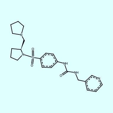 O=C(NCc1cccnc1)Nc1ccc(S(=O)(=O)N2CCC[C@H]2CN2CCCC2)cc1